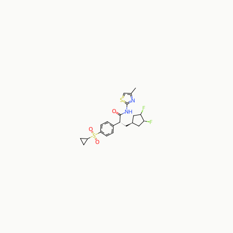 Cc1csc(NC(=O)[C@H](C[C@H]2C[C@@H](F)[C@@H](F)C2)c2ccc(S(=O)(=O)C3CC3)cc2)n1